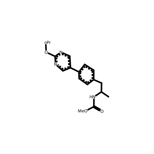 CCCOc1ncc(-c2ccc(CC(C)NC(=O)OC)cc2)cn1